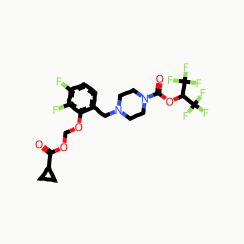 O=C(OCOc1c(CN2CCN(C(=O)OC(C(F)(F)F)C(F)(F)F)CC2)ccc(F)c1F)C1CC1